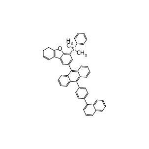 C[Si](C)(c1ccccc1)c1cc(-c2c3ccccc3c(-c3ccc(-c4cccc5ccccc45)cc3)c3ccccc23)cc2c3c(oc12)CCC=C3